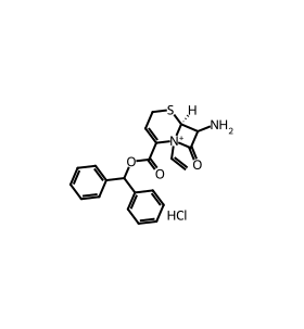 C=C[N+]12C(=O)C(N)[C@@H]1SCC=C2C(=O)OC(c1ccccc1)c1ccccc1.Cl